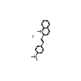 CN(C)c1ccc(/C=C/c2ccc3ccccc3[n+]2C)cc1.[I-]